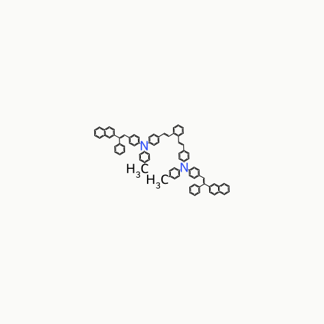 Cc1ccc(N(c2ccc(/C=C/c3ccccc3/C=C/c3ccc(N(c4ccc(C)cc4)c4ccc(/C=C(\c5ccccc5)c5ccc6ccccc6c5)cc4)cc3)cc2)c2ccc(/C=C(\c3ccccc3)c3ccc4ccccc4c3)cc2)cc1